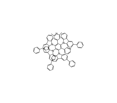 Cc1cc(-c2c(-n3c4ccccc4c4cc(-c5ccccc5)ccc43)c(-c3cccnc3)c(-n3c4ccccc4c4cc(-c5ccccc5)ccc43)c(-n3c4ccccc4c4cc(-c5ccccc5)ccc43)c2-n2c3ccccc3c3cc(-c4ccccc4)ccc32)cc(C)n1